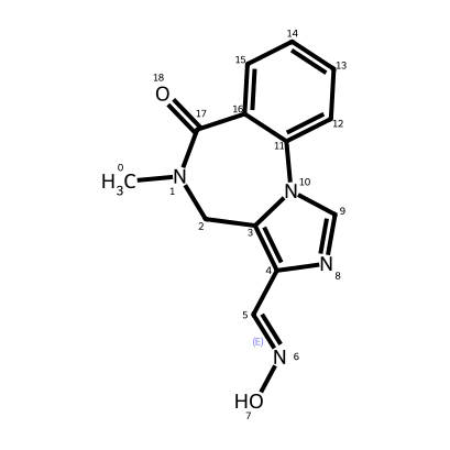 CN1Cc2c(/C=N/O)ncn2-c2ccccc2C1=O